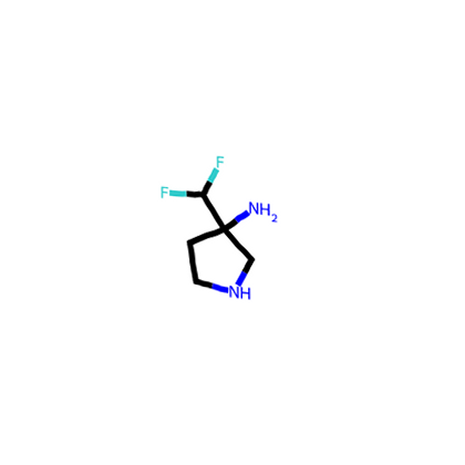 NC1(C(F)F)CCNC1